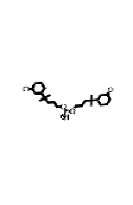 CC(C)(CCCO[PH](=O)OCCCC(C)(C)C1CCCC(=O)C1)C1CCCC(=O)C1